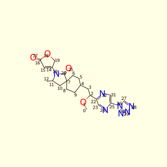 COC(CC1CCC2(CC1)CC(C)N(C1=CC(=O)OC1)C2=O)c1cnc(-n2cnnn2)cn1